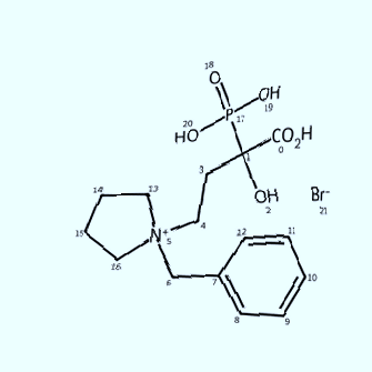 O=C(O)C(O)(CC[N+]1(Cc2ccccc2)CCCC1)P(=O)(O)O.[Br-]